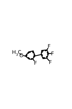 COc1ccc(-c2cc(F)c(F)c(F)c2)c(F)c1